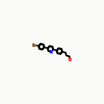 O=CCCc1ccc(-c2ccc(-c3ccc(Br)cc3)cn2)cc1